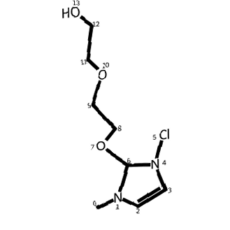 CN1C=CN(Cl)C1OCCOCCO